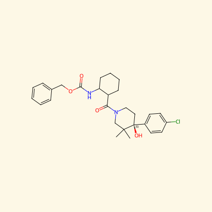 CC1(C)CN(C(=O)C2CCCCC2NC(=O)OCc2ccccc2)CC[C@]1(O)c1ccc(Cl)cc1